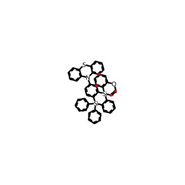 c1ccc([Si]2(c3ccccc3)c3ccccc3[Si]3(c4ccccc4Oc4ccccc43)c3cc(N4c5ccccc5Sc5ccccc54)ccc32)cc1